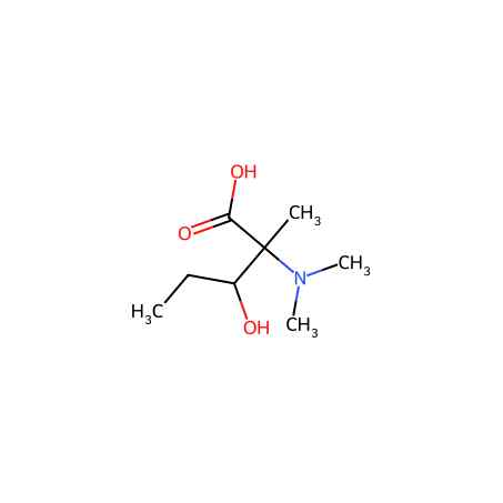 CCC(O)C(C)(C(=O)O)N(C)C